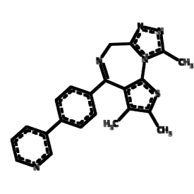 Cc1sc2c(c1C)C(c1ccc(-c3cccnc3)cc1)=NCc1nnc(C)n1-2